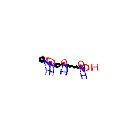 O=C(CCCCCCNC(=O)c1ccc(NC(=O)Nc2ccccc2)cc1)NO